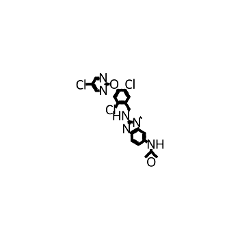 Cn1c(NCc2cc(Cl)c(Oc3ncc(Cl)cn3)cc2Cl)nc2ccc(NC3COC3)cc21